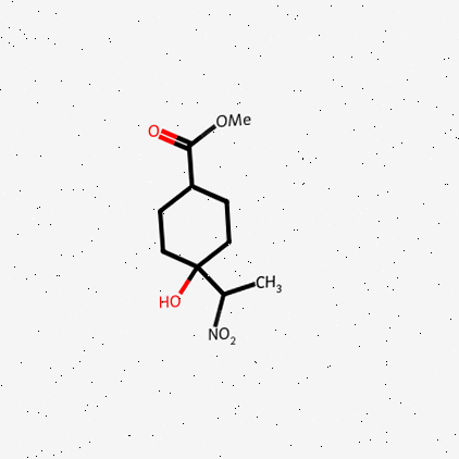 COC(=O)C1CCC(O)(C(C)[N+](=O)[O-])CC1